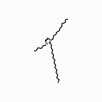 CCCCCCCCCCCCCCCCc1n(CCCCCCCCCCC)cc[n+]1CCCCCC